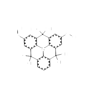 COc1cc2c3c(c1)C(C)(C)c1cc(OC)cc4c1N3c1c(cccc1C4(C)C)C2(C)C